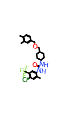 Cc1ccc(COCC2CCC(NC(=O)Nc3cc(C(F)(F)F)c(Cl)cc3C)CC2)cc1C